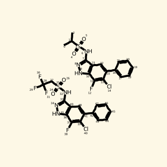 CC(C)S(=O)(=O)Nc1n[nH]c2c(F)c(Cl)c(-c3ccccc3)cc12.O=S(=O)(CC(F)(F)F)Nc1n[nH]c2c(F)c(Cl)c(-c3ccccc3)cc12